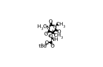 CN1C(=O)N(C)C(=O)C(C)(ONC(=O)OC(C)(C)C)C1=O